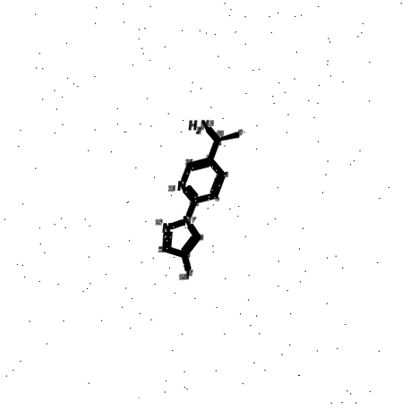 C[C@H](N)c1ccc(-n2cc(F)cn2)nc1